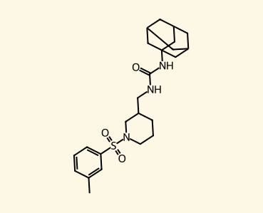 Cc1cccc(S(=O)(=O)N2CCCC(CNC(=O)NC34CC5CC(CC(C5)C3)C4)C2)c1